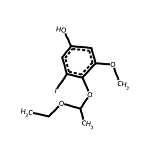 CCOC(C)Oc1c(I)cc(O)cc1OC